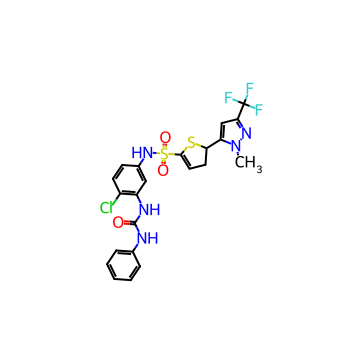 Cn1nc(C(F)(F)F)cc1C1CC=C(S(=O)(=O)Nc2ccc(Cl)c(NC(=O)Nc3ccccc3)c2)S1